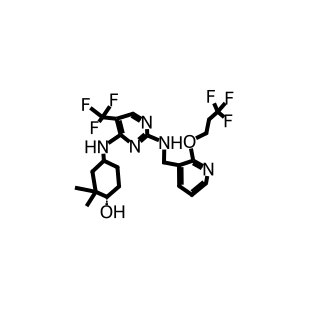 CC1(C)CC(Nc2nc(NCc3cccnc3OCCC(F)(F)F)ncc2C(F)(F)F)CC[C@@H]1O